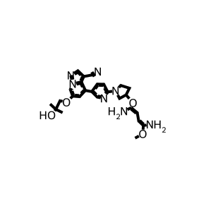 CO/C(N)=C/C=C(\N)OC1CCN(c2ccc(-c3cc(OCC(C)(C)O)cn4ncc(C#N)c34)cn2)C1